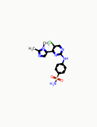 Cc1ncc(-c2nc(Nc3ccc(S(N)(=O)=O)cc3)ncc2Cl)n1C